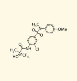 COc1ccc(N(C)S(=O)(=O)c2ccc(NC(=O)[C@@](C)(O)C(F)(F)F)c(Cl)c2)cc1